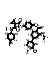 C=C(Oc1ccc(NC(=O)C2(C(=O)Nc3ccc(F)cc3)CC2)cc1)c1ccc(-c2ccn(C)c(=O)c2)cc1/N=C\C